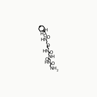 NCC(=O)NCC(=O)NCC(=O)NCCOCCNC(=O)OC[C@@H]1[C@@H]2CCC#CCC[C@@H]21